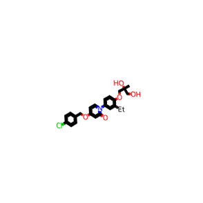 CCc1cc(-n2ccc(OCc3ccc(Cl)cc3)cc2=O)ccc1OCC(C)(O)CO